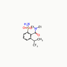 CCN(CC)C(=O)c1c(C(C)C(F)(F)F)cccc1S(N)(=O)=O